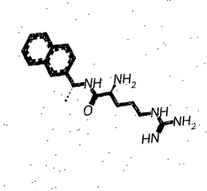 C[C@@H](NC(=O)[C@@H](N)CCCNC(=N)N)c1ccc2ccccc2c1